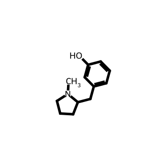 CN1CCCC1Cc1cccc(O)c1